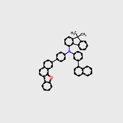 CC1(C)c2ccccc2-c2c(N(c3ccc(-c4ccc5ccc6c7ccccc7oc6c5c4)cc3)c3cccc(-c4cccc5ccccc45)c3)cccc21